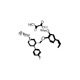 C/C=C\c1ccc(OC[C@H]2CN(CCCCC)CC[C@@H]2c2ccc(F)cc2)c(OC)c1.O=C(O)C(=O)O